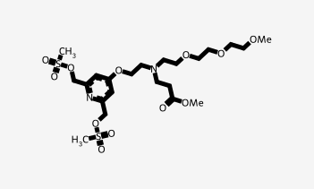 COCCOCCOCCN(CCOc1cc(COS(C)(=O)=O)nc(COS(C)(=O)=O)c1)CCC(=O)OC